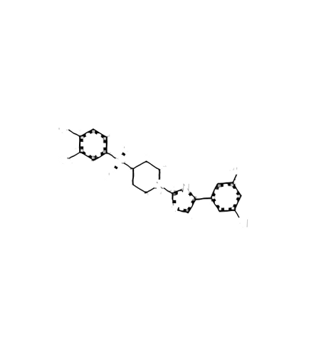 O=S(=O)(c1ccc(Cl)c(Cl)c1)C1CCN(c2nc(-c3cc(Cl)cc(Cl)c3)cs2)CC1